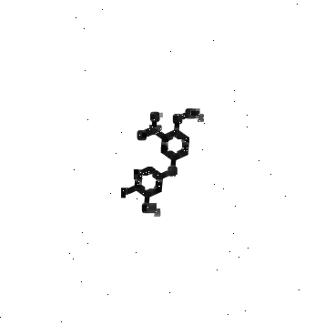 COc1ccc(Oc2cnc(F)c(C)c2)cc1[N+](=O)[O-]